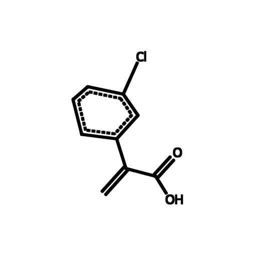 C=C(C(=O)O)c1cccc(Cl)c1